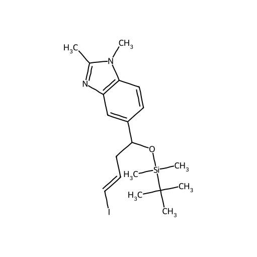 Cc1nc2cc(C(C/C=C/I)O[Si](C)(C)C(C)(C)C)ccc2n1C